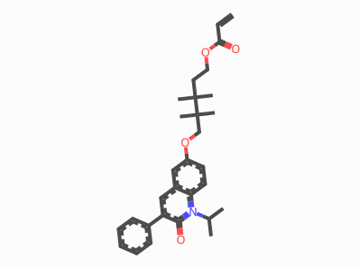 C=CC(=O)OCCC(C)(C)C(C)(C)COc1ccc2c(c1)cc(-c1ccccc1)c(=O)n2C(C)C